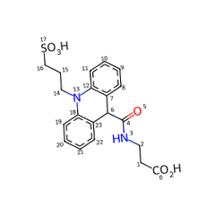 O=C(O)CCNC(=O)C1c2ccccc2N(CCCS(=O)(=O)O)c2ccccc21